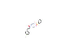 O=C(C=Cc1ccc(F)cc1)N1CCN(S(=O)(=O)c2ccc(Cl)cc2)CC1